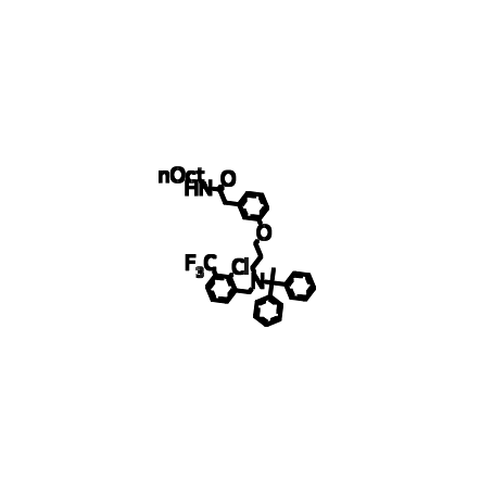 CCCCCCCCNC(=O)Cc1cccc(OCCCN(Cc2cccc(C(F)(F)F)c2Cl)C(C)(c2ccccc2)c2ccccc2)c1